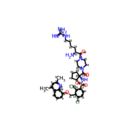 Cc1cc(C)c2cccc(OCc3c(Cl)ccc(S(=O)(=O)NC4(C(=O)N5CCN(C(=O)[C@@H](N)CCCCNC(=N)N)CC5)CCCC4)c3Cl)c2n1